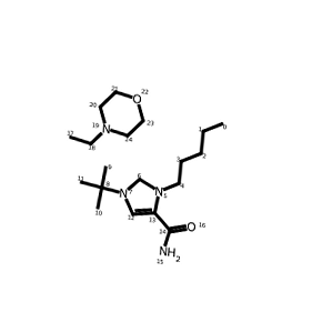 CCCCCN1CN(C(C)(C)C)C=C1C(N)=O.CCN1CCOCC1